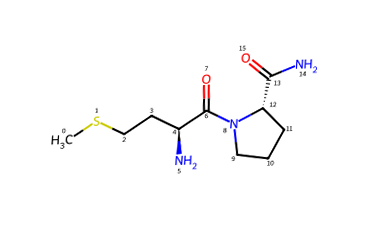 CSCC[C@H](N)C(=O)N1CCC[C@H]1C(N)=O